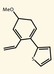 C=CC1=CC(OC)CC=C1c1cccs1